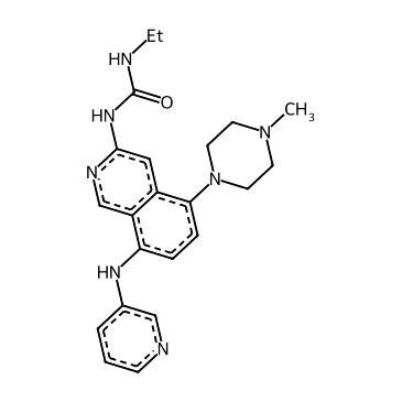 CCNC(=O)Nc1cc2c(N3CCN(C)CC3)ccc(Nc3cccnc3)c2cn1